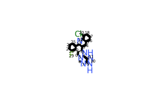 CC[C@H](Nc1ncnc2[nH]cnc12)c1cc2cccc(Cl)c2nc1-c1cccc(F)c1